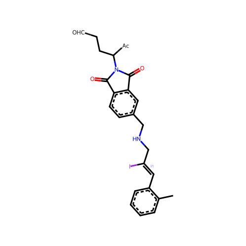 CC(=O)C(CCC=O)N1C(=O)c2ccc(CNC/C(I)=C/c3ccccc3C)cc2C1=O